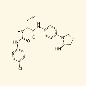 CC(C)C[C@@H](NC(=O)Nc1ccc(Cl)cc1)C(=O)Nc1ccc(N2CCCC2=N)cc1